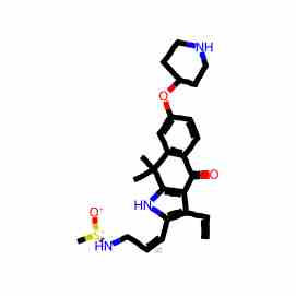 C=Cc1c(/C=C\CN[S+](C)[O-])[nH]c2c1C(=O)c1ccc(OC3CCNCC3)cc1C2(C)C